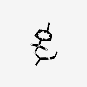 CC=C=C(C)OS(=O)(=O)c1ccc(C)cc1